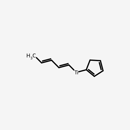 CC=CC=[CH][Ti][C]1=CC=CC1